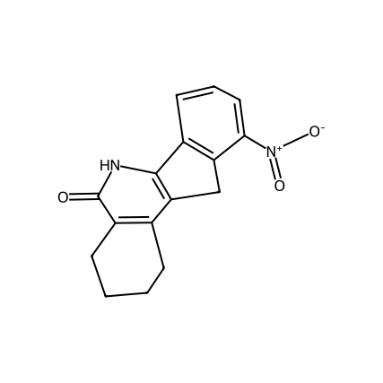 O=c1[nH]c2c(c3c1CCCC3)Cc1c-2cccc1[N+](=O)[O-]